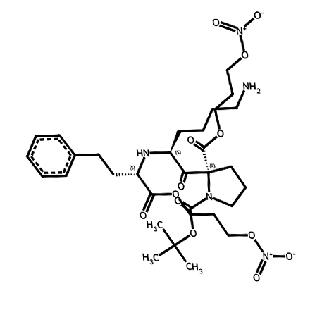 CC(C)(C)OC(=O)N1CCC[C@]1(C(=O)OCCCO[N+](=O)[O-])C(=O)[C@H](CCCCN)N[C@@H](CCc1ccccc1)C(=O)OCCCO[N+](=O)[O-]